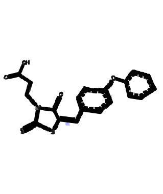 O=C(O)CCN1C(=O)/C(=C\c2ccc(Oc3ccccc3)cc2)SC1=S